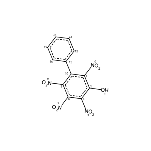 O=[N+]([O-])c1c(O)c([N+](=O)[O-])c([N+](=O)[O-])c([N+](=O)[O-])c1-c1ccccc1